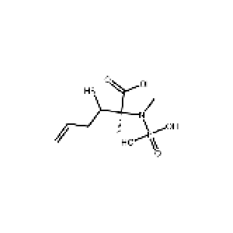 C=CCC(S)[C@@](C)(C(=O)O)N(C)P(=O)(O)O